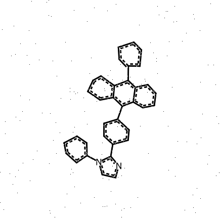 c1ccc(-c2c3ccccc3c(-c3ccc(-c4nccn4-c4ccccc4)cc3)c3ccccc23)cc1